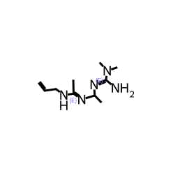 C=CCN/C(C)=N/C(C)/N=C(\N)N(C)C